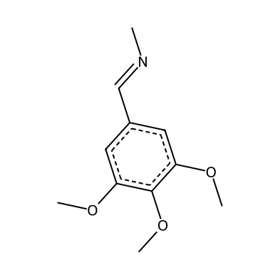 CN=Cc1cc(OC)c(OC)c(OC)c1